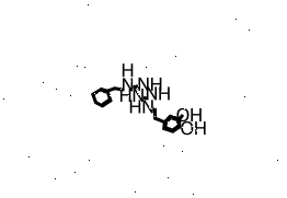 N=C(NCCC1=CCCC=C1)NC(=N)NCCc1ccc(O)c(O)c1